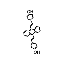 Oc1ccc(C=Cc2c3ccccc3c(C=Cc3ccc(O)cc3)c3ccccc23)cc1